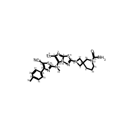 CCc1nc2sc(N3CC4(CCCN(C(N)=O)C4)C3)nn2c1N(C)c1nc(-c2ccc(C)cc2)c(C#N)s1